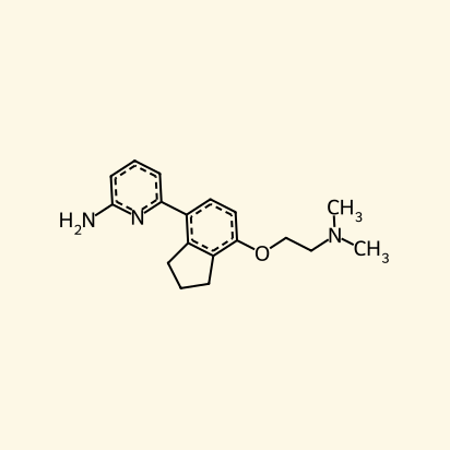 CN(C)CCOc1ccc(-c2cccc(N)n2)c2c1CCC2